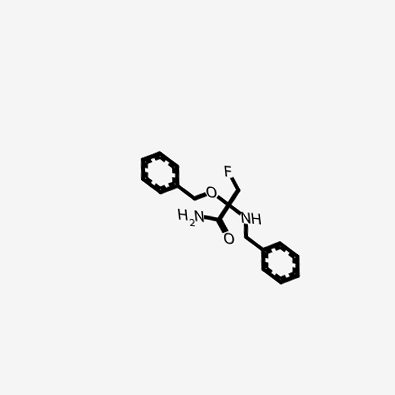 NC(=O)C(CF)(NCc1ccccc1)OCc1ccccc1